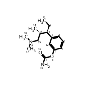 CC[C@@H](c1cccc(OC(N)=O)c1)[C@@H](C)CN(C)C